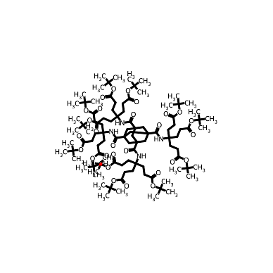 CC(C)(C)OC(=O)CCC(CCC(=O)OC(C)(C)C)(CCC(=O)OC(C)(C)C)NC(=O)C12CC3(C(=O)NC(CCC(=O)OC(C)(C)C)(CCC(=O)OC(C)(C)C)CCC(=O)OC(C)(C)C)CC(C(=O)NC(CCC(=O)OC(C)(C)C)(CCC(=O)OC(C)(C)C)CCC(=O)OC(C)(C)C)(C1)CC(C(=O)NC(CCC(=O)OC(C)(C)C)(CCC(=O)OC(C)(C)C)CCC(=O)OC(C)(C)C)(C2)C3